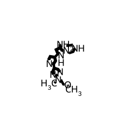 COCCN(C)c1ncc(-c2cc(-c3cc(N)c(N4CCNCC4)[nH]3)ccn2)cn1